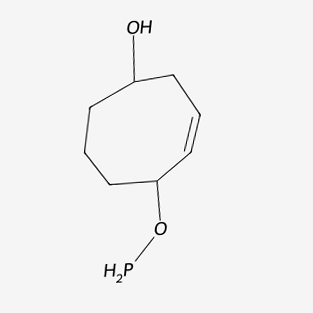 OC1C/C=C\C(OP)CCC1